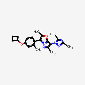 Cc1nc(C)n(-c2c(C)nn3c(-c4ccc(OC5CCC5)cc4C)c(C)oc23)n1